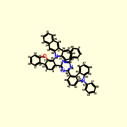 c1ccc(-c2nc(-c3ccc4c(oc5ccccc54)c3-n3c4ccccc4c4cc5ccccc5cc43)nc(-c3cccc4c3c3ccccc3n4-c3ccccc3)n2)cc1